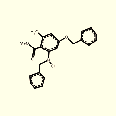 COC(=O)c1c(C)cc(OCc2ccccc2)cc1N(C)Cc1ccccc1